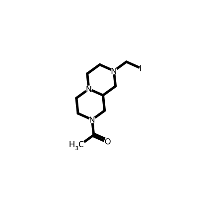 CC(=O)N1CCN2CCN(CI)CC2C1